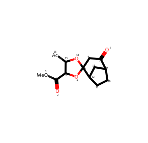 COC(=O)C1OC2(CC(=O)C3CCC2C3)OC1C(C)=O